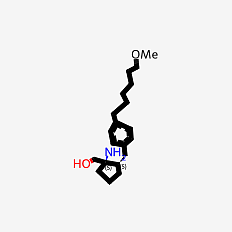 COCCCCCCc1ccc(C[C@@H]2CCC[C@@]2(N)CO)cc1